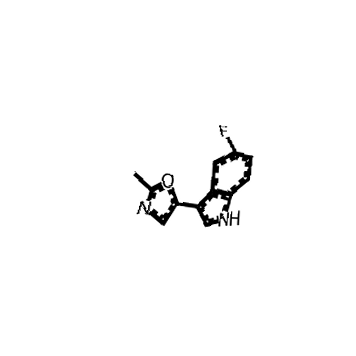 Cc1ncc(-c2c[nH]c3ccc(F)cc23)o1